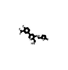 N=Cc1ncc(-c2ccc(F)c(C(F)F)c2)cc1NCc1ccc(F)s1